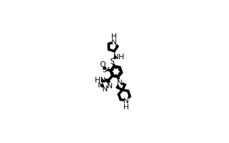 O=[S+]c1c(SN[C@@H]2CCNC2)ccc(N2CC3(CCNCC3)C2)c1-c1nnn[nH]1